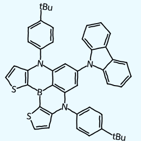 CC(C)(C)c1ccc(N2c3ccsc3B3c4sccc4N(c4ccc(C(C)(C)C)cc4)c4cc(-n5c6ccccc6c6ccccc65)cc2c43)cc1